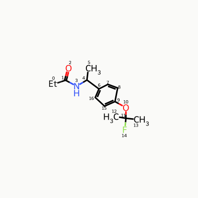 CCC(=O)NC(C)c1ccc(OC(C)(C)F)cc1